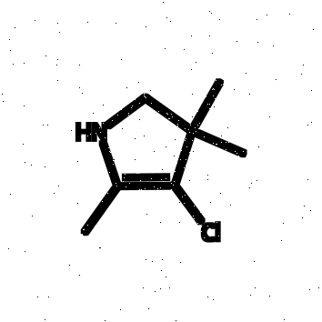 CC1=C(Cl)C(C)(C)CN1